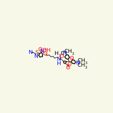 CN(C)c1ccc2c(c1)Oc1cc(N(C)C)ccc1C21OC(=O)c2ccc(C(=O)NCCCCCCOc3ccc4nc(C#N)sc4c3[N+](=O)O)cc21